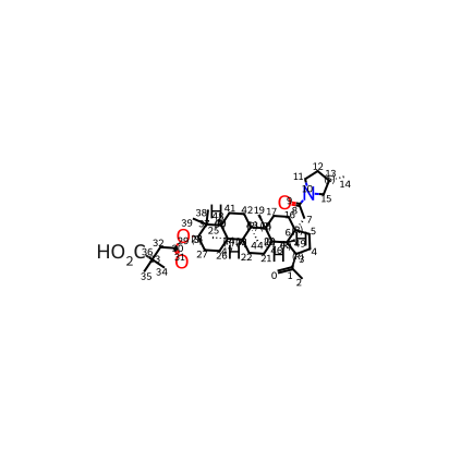 C=C(C)[C@@H]1CC[C@]2(CC(=O)N3CC[C@H](C)C3)CC[C@]3(C)[C@H](CC[C@@H]4[C@@]5(C)CC[C@H](OC(=O)CC(C)(C)C(=O)O)C(C)(C)[C@@H]5CC[C@]43C)[C@@H]12